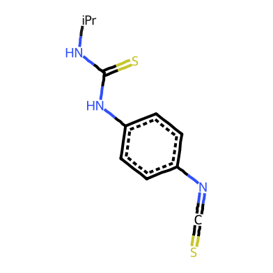 CC(C)NC(=S)Nc1ccc(N=C=S)cc1